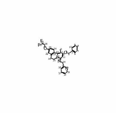 Cc1c(OCc2ccccc2)cc(=NCc2ccccn2)n2c1-c1ccc(OCC(F)F)cc1CC2